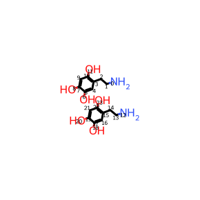 NCCc1cc(O)c(O)cc1O.NCCc1cc(O)c(O)cc1O